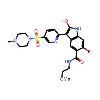 COCCNC(=O)c1cc2c(-c3ccc(S(=O)(=O)N4CCN(C)CC4)cn3)c(O)[nH]c2cc1Br